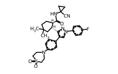 CC1(C)CC[C@@H](C(=O)NC2(C#N)CC2)[C@H](c2nn(-c3ccc(F)cc3)cc2-c2ccc(N3CCS(=O)(=O)CC3)cc2)C1